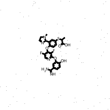 CC(Sc1ccc(Oc2c(F)cnc(Oc3cc(C(=N)N)ccc3O)c2F)c(C2N=CCN2C)c1)C(=O)O